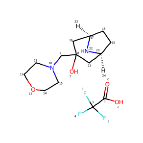 O=C(O)C(F)(F)F.OC1(CN2CCOCC2)C[C@H]2CC[C@@H](C1)N2